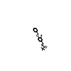 CC(C)(C)[S+]([O-])/N=C/c1ccc(OCc2ccccc2)c(F)c1